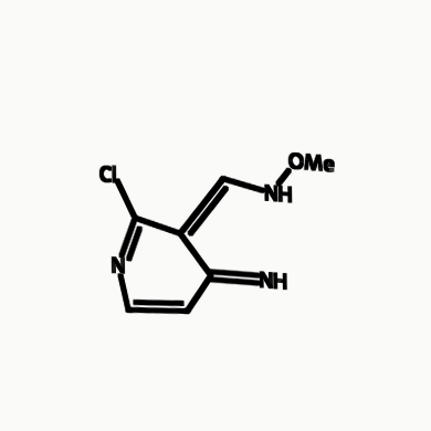 CON/C=C1\C(=N)C=CN=C1Cl